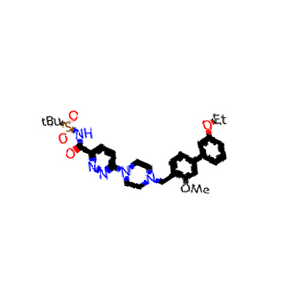 CCOc1cccc(-c2ccc(CN3CCN(c4ccc(C(=O)NS(=O)(=O)C(C)(C)C)nn4)CC3)c(OC)c2)c1